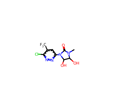 CN1C(=O)N(c2cc(C(F)(F)F)c(Cl)nn2)C(O)C1O